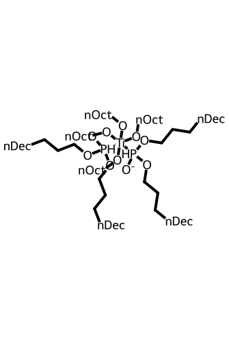 CCCCCCCCCCCCCO[PH]([O-])(OCCCCCCCCCCCCC)[Ti]([O]CCCCCCCC)([O]CCCCCCCC)([O]CCCCCCCC)([O]CCCCCCCC)[PH]([O-])(OCCCCCCCCCCCCC)OCCCCCCCCCCCCC